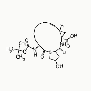 CC(C)(C)OC(=O)N[C@H]1CCCCC/C=C\[C@@H]2C[C@@]2(C(=O)O)NC(=O)C2C[C@@H](O)CN2C1=O